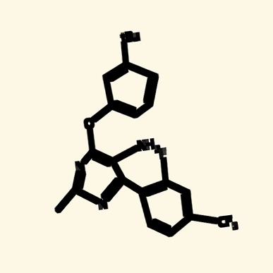 Cc1nc(Oc2cccc(C(C)(C)C)c2)c(N)c(-c2ccc(C(F)(F)F)cc2F)n1